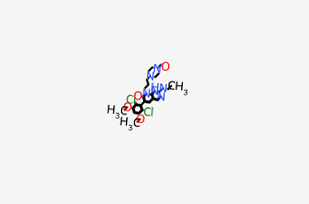 CCNc1ncc2cc(-c3c(Cl)c(OC)cc(OC)c3Cl)c(=O)n(CCCN3CCN(C=O)CC3)c2n1